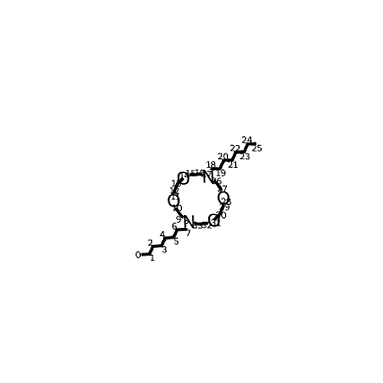 CCCCCCCCN1CCOCCOCCN(CCCCCCCC)CCOCCOCC1